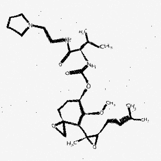 CO[C@H]1C([C@@]2(C)O[C@@H]2CC=C(C)C)[C@]2(CC[C@H]1OC(=O)N[C@@H](C(=O)NCCN1CCCC1)C(C)C)CO2